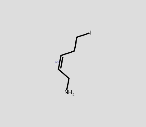 NC/C=C\CCI